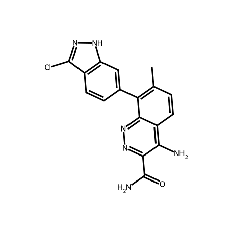 Cc1ccc2c(N)c(C(N)=O)nnc2c1-c1ccc2c(Cl)n[nH]c2c1